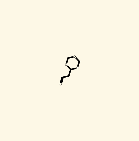 O=CCC1OCOCO1